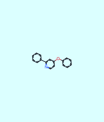 [c]1c(Oc2ccccc2)ccnc1-c1ccccc1